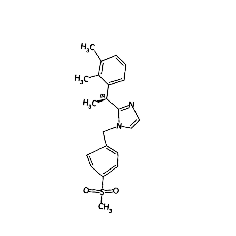 Cc1cccc([C@H](C)c2nccn2Cc2ccc(S(C)(=O)=O)cc2)c1C